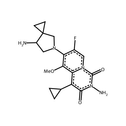 COc1c(N2CC(N)C3(CC3)C2)c(F)cn2c(=O)n(N)c(=O)c(C3CC3)c12